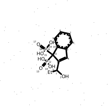 CCC(O)C1=Cc2ccccc2C1(P(=O)(O)O)P(=O)(O)O